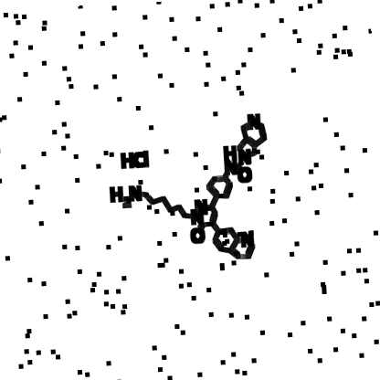 Cl.NCCCCCCn1nc(-c2ccc(NC(=O)N3Cc4ccncc4C3)cc2)cc(-c2ccc3cccnc3c2)c1=O